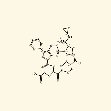 C[C@@H](Oc1cc(C(=O)NC(CCC(=O)O)C(=O)N2CCN(C(=O)O)CC2)nn1-c1ccccc1)C(=O)N1CCCC1C(=O)NC1CC1